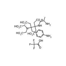 CC(N)CNC(CC(=O)O)(CC(=O)O)C(CC(=O)O)(Cc1ccc(N)cc1)N(CC(=O)O)CC(=O)O.O=C(O)C(F)(F)F